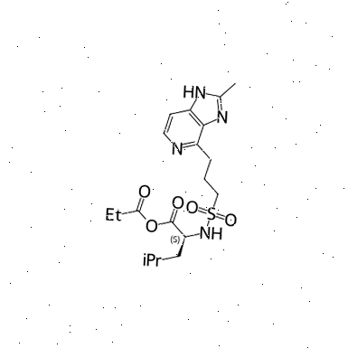 CCC(=O)OC(=O)[C@H](CC(C)C)NS(=O)(=O)CCCc1nccc2[nH]c(C)nc12